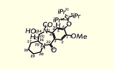 COc1cc2c(cc1O[Si](C(C)C)(C(C)C)C(C)C)N(C(=O)O)[C@@H](O)[C@@H]1CCCCN1C2=O